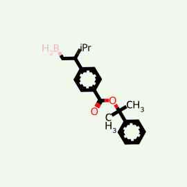 BCC(c1ccc(C(=O)OC(C)(C)c2ccccc2)cc1)C(C)C